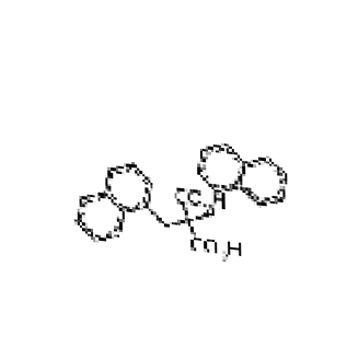 O=C(O)C(Cc1cccc2ccccc12)(Cc1cccc2ccccc12)C(=O)O